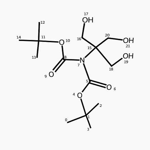 CC(C)(C)OC(=O)N(C(=O)OC(C)(C)C)C(CO)(CO)CO